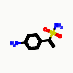 C=C(c1ccc(N)cc1)S(N)(=O)=O